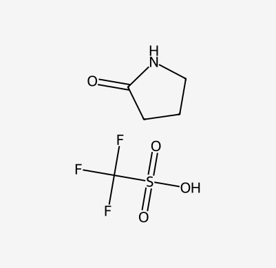 O=C1CCCN1.O=S(=O)(O)C(F)(F)F